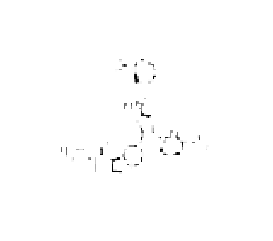 CNC(=O)c1cnn2ccc(-c3cc(NCc4cccc(Cl)c4)nn3-c3cccc(C)n3)cc12